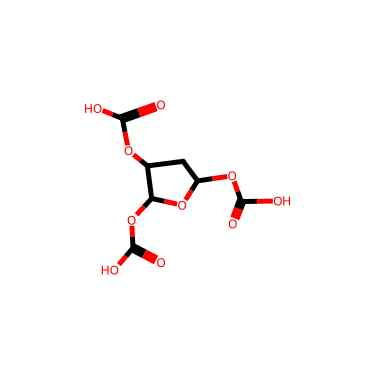 O=C(O)OC1CC(OC(=O)O)C(OC(=O)O)O1